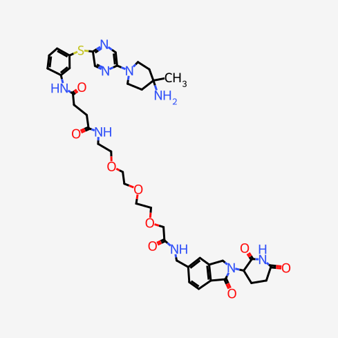 CC1(N)CCN(c2cnc(Sc3cccc(NC(=O)CCC(=O)NCCOCCOCCOCC(=O)NCc4ccc5c(c4)CN(C4CCC(=O)NC4=O)C5=O)c3)cn2)CC1